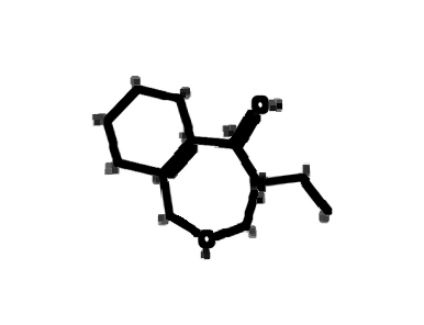 CCN1COCC2=C(CCCC2)C1=O